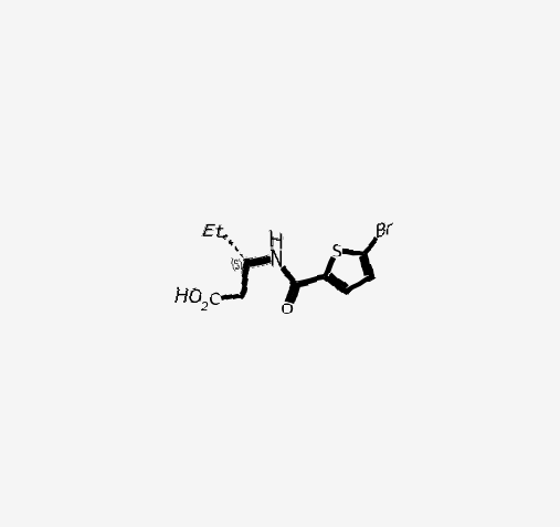 CC[C@@H](CC(=O)O)NC(=O)c1ccc(Br)s1